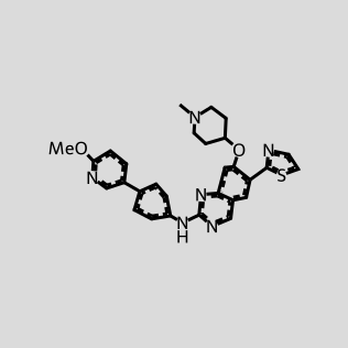 COc1ccc(-c2ccc(Nc3ncc4cc(-c5nccs5)c(OC5CCN(C)CC5)cc4n3)cc2)cn1